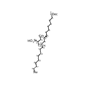 CCCCCCCCCCCCCCCCCCCCCCCCCCC[CH2][Na].O=C(O)CC(C(=O)O)S(=O)(=O)O